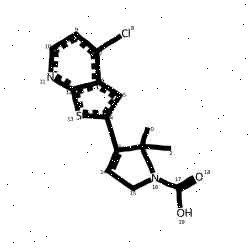 CC1(C)C(c2cc3c(Cl)ccnc3s2)=CCN1C(=O)O